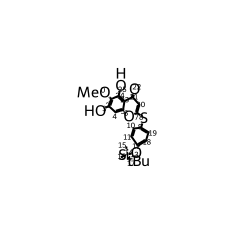 COc1c(O)cc2oc(Sc3ccc(O[Si](C)(C)C(C)(C)C)cc3)cc(=O)c2c1O